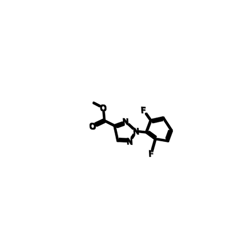 COC(=O)c1cnn(-c2c(F)cccc2F)n1